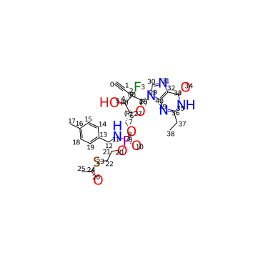 C#C[C@@]1(F)[C@H](O)[C@@H](COP(=O)(NCc2ccc(C)cc2)OCCSC(C)=O)O[C@H]1n1cnc2c(=O)[nH]c(CC)nc21